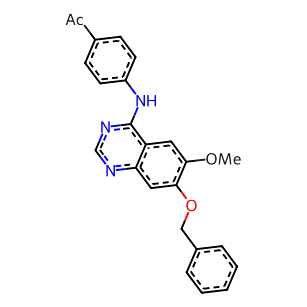 COc1cc2c(Nc3ccc(C(C)=O)cc3)ncnc2cc1OCc1ccccc1